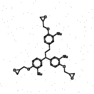 CC(C)(C)c1cc(CCC(c2ccc(OCC3CO3)c(C(C)(C)C)c2)c2ccc(OCC3CO3)c(C(C)(C)C)c2)ccc1OCC1CO1